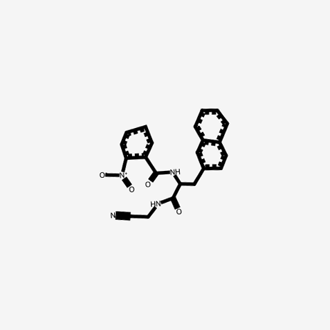 N#CCNC(=O)C(Cc1ccc2ccccc2c1)NC(=O)c1ccccc1[N+](=O)[O-]